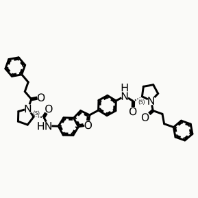 O=C(Nc1ccc(-c2cc3cc(NC(=O)[C@@H]4CCCN4C(=O)CCc4ccccc4)ccc3o2)cc1)[C@@H]1CCCN1C(=O)CCc1ccccc1